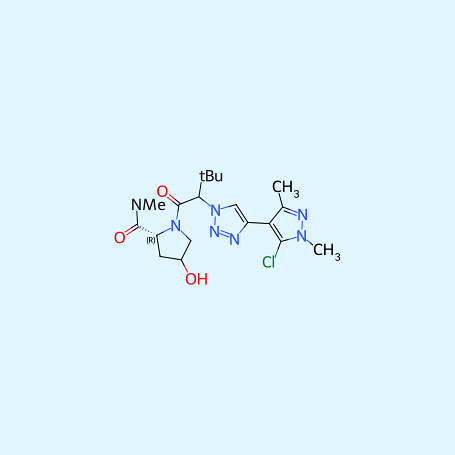 CNC(=O)[C@H]1CC(O)CN1C(=O)C(n1cc(-c2c(C)nn(C)c2Cl)nn1)C(C)(C)C